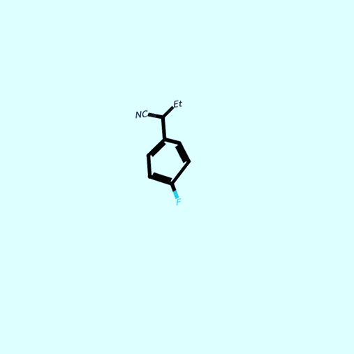 CCC(C#N)c1ccc(F)cc1